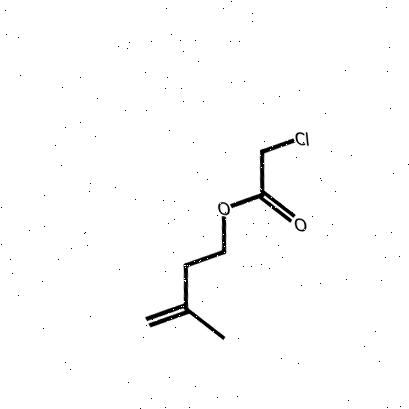 C=C(C)CCOC(=O)CCl